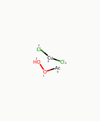 CC(=O)OO.[Cl][Cu][Cl]